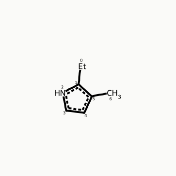 [CH2]Cc1[nH]ccc1C